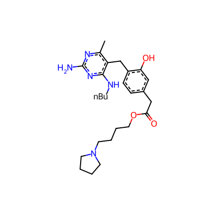 CCCCNc1nc(N)nc(C)c1Cc1ccc(CC(=O)OCCCCN2CCCC2)cc1O